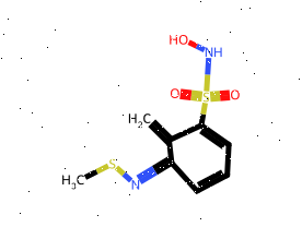 C=C1C(S(=O)(=O)NO)=CC=C/C1=N/SC